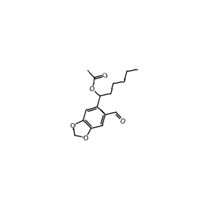 CCCCCC(OC(C)=O)c1cc2c(cc1C=O)OCO2